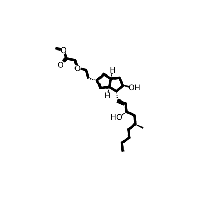 CCCC[C@H](C)C[C@H](O)/C=C/[C@@H]1[C@H]2C[C@H](CCOCC(=O)OC)C[C@H]2C[C@H]1O